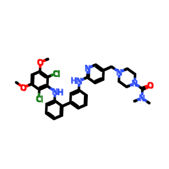 COc1cc(OC)c(Cl)c(Nc2ccccc2-c2cccc(Nc3ccc(CN4CCN(C(=O)N(C)C)CC4)cn3)c2)c1Cl